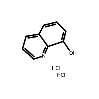 Cl.Cl.Oc1cccc2cccnc12